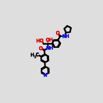 Cc1cc(-c2ccncc2)ccc1C(=O)N[C@@](O)(CO)c1cccc(C(=O)NC2CCCC2)c1